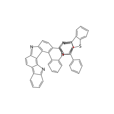 c1ccc(-c2ccccc2-c2ccccc2-c2c(-c3ncc4sc5ccccc5c4n3)ccc3c2-c2c4c(ccc2=N3)=c2ccccc2=N4)cc1